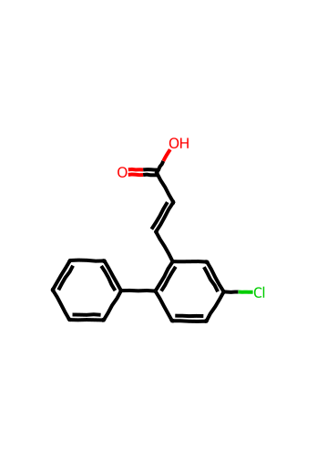 O=C(O)C=Cc1cc(Cl)ccc1-c1ccccc1